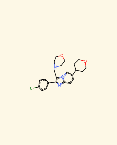 Clc1ccc(-c2nc3ccc(C4CCOCC4)cn3c2CN2CCOCC2)cc1